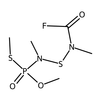 COP(=O)(SC)N(C)SN(C)C(=O)F